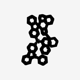 c1ccc(-n2c3ccccc3c3ccc(N(c4ccc5c(c4)C4(c6ccccc6-5)c5ccc(C6CCCCC6)cc5-c5cccc6cccc4c56)c4cccc5ccccc45)cc32)cc1